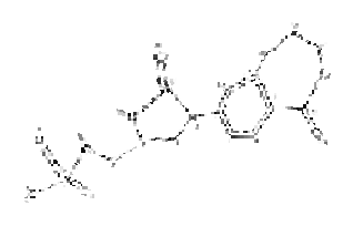 CS(=O)(=O)OC[C@H]1CN(c2ccc3c(c2)CCCCC3=O)C(=O)O1